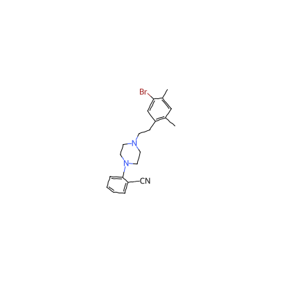 Cc1cc(C)c(CCN2CCN(c3ccccc3C#N)CC2)cc1Br